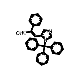 O=CC(=Cc1cncn1C(c1ccccc1)(c1ccccc1)c1ccccc1)c1ccccc1